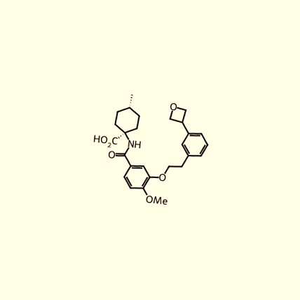 COc1ccc(C(=O)N[C@]2(C(=O)O)CC[C@@H](C)CC2)cc1OCCc1cccc(C2COC2)c1